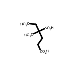 O=C(O)CCC(CC(=O)O)(C(=O)O)S(=O)(=O)O